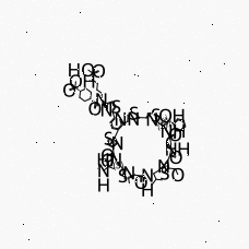 CNC(=O)C[C@@H]1NC(=O)c2csc(n2)-c2ccc(-c3nc(N(CCCCC(=O)O)C(=O)[C@H]4CC[C@H](C(=O)O)CC4)cs3)nc2-c2csc(n2)-c2csc(n2)[C@H]([C@@H](O)c2ccccc2)NC(=O)CNC(=O)c2nc(sc2COC)C(C(C)C)NC(=O)c2nc1sc2C